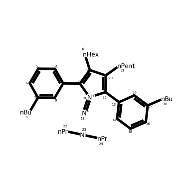 CCCCCCC1=C(c2cccc(CCCC)c2)[N+](=[N-])C(c2cccc(CCCC)c2)=C1CCCCC.CC[CH2][Ni][CH2]CC